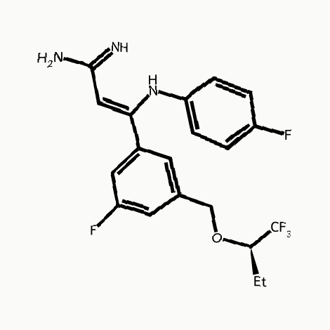 CC[C@@H](OCc1cc(F)cc(/C(=C/C(=N)N)Nc2ccc(F)cc2)c1)C(F)(F)F